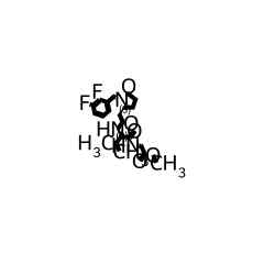 COC(=O)CNC(=O)[C@H](NC(=O)C[C@@H]1CCC(=O)N1Cc1cccc(F)c1F)C(C)C